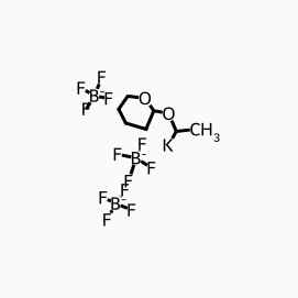 C[CH]([K])OC1CCCCO1.F[B-](F)(F)F.F[B-](F)(F)F.F[B-](F)(F)F